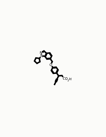 CC#CC(CC(=O)O)c1ccc(OCc2ccc3cnn(C4CCCC4)c3c2)cc1